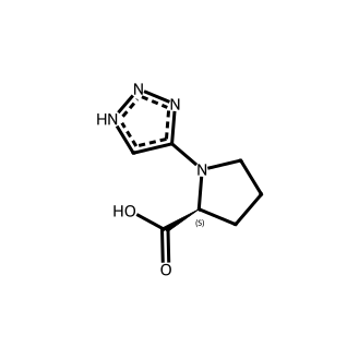 O=C(O)[C@@H]1CCCN1c1c[nH]nn1